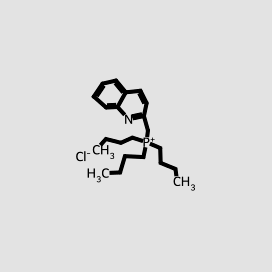 CCCC[P+](CCCC)(CCCC)Cc1ccc2ccccc2n1.[Cl-]